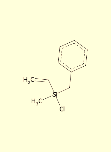 C=C[Si](C)(Cl)Cc1ccccc1